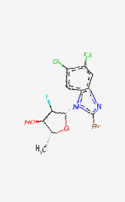 C[C@H]1O[C@@H](n2c(Br)nc3cc(Cl)c(Cl)cc32)[C@H](F)[C@@H]1O